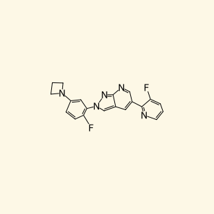 Fc1ccc(N2CCC2)cc1-n1cc2cc(-c3ncccc3F)cnc2n1